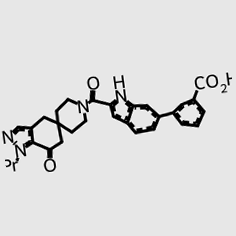 CC(C)n1ncc2c1C(=O)CC1(CCN(C(=O)c3cc4ccc(-c5cccc(C(=O)O)c5)cc4[nH]3)CC1)C2